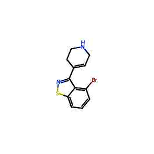 Brc1cccc2snc(C3=CCNCC3)c12